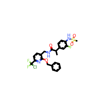 CC(C(=O)NCc1ccc(C(F)(F)Cl)nc1OCc1ccccc1)c1ccc(NS(C)(=O)=O)c(F)c1